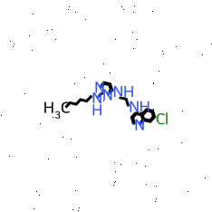 CCCCCCNc1nccc(NCCCNc2ccnc3cc(Cl)ccc23)n1